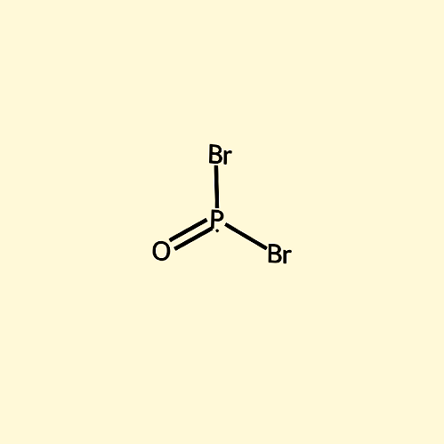 O=[P](Br)Br